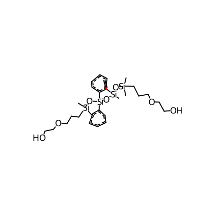 C=C[Si](C)(O[Si](C)(C)CCCOCCO)O[Si](O[Si](C)(C)CCCOCCO)(c1ccccc1)c1ccccc1